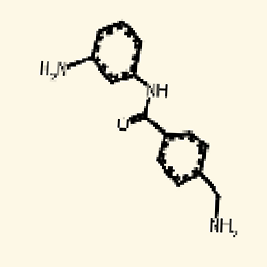 NCc1ccc(C(=O)Nc2cccc(N)c2)cc1